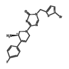 N[C@H]1CN(c2ncn(Cc3ccc(Br)s3)c(=O)n2)CC=C1c1ccc(F)cc1